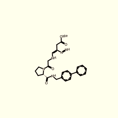 COC(=O)C/C(=C/NCC(=O)N1CCC[C@H]1C(=O)NCc1ccc(-c2ccccc2)cc1)N=N